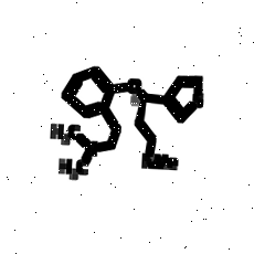 CNCC[C@@H](Oc1ccccc1CCN(C)C)c1ccsc1